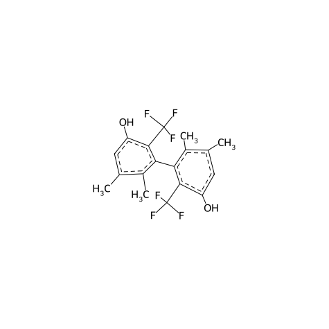 Cc1cc(O)c(C(F)(F)F)c(-c2c(C)c(C)cc(O)c2C(F)(F)F)c1C